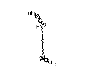 CCCN1CCN(c2ccc(C(=O)NCCCCCCCCCCCCCCCCOS(=O)(=O)c3ccc(C)cc3)cn2)CC1